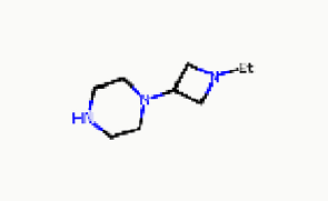 CCN1CC(N2CCNCC2)C1